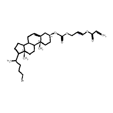 C=CC(=O)O/C=C/COC(=O)O[C@H]1CC[C@@]2(C)C(=CCC3C4CCC(C(C)CCCC(C)C)[C@@]4(C)CCC32)C1